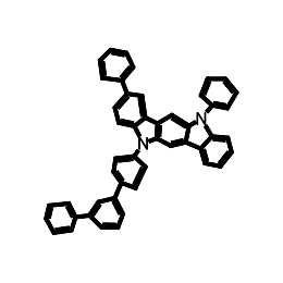 c1ccc(-c2cccc(-c3ccc(-n4c5ccc(-c6ccccc6)cc5c5cc6c(cc54)c4ccccc4n6-c4ccccc4)cc3)c2)cc1